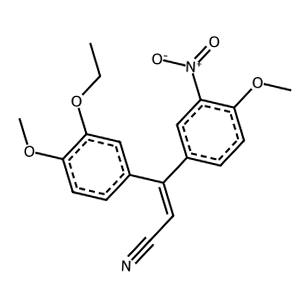 CCOc1cc(/C(=C\C#N)c2ccc(OC)c([N+](=O)[O-])c2)ccc1OC